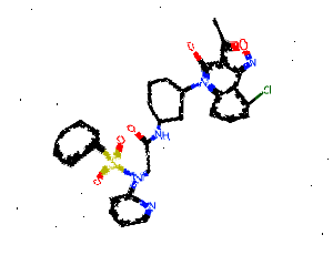 Cc1onc2c1c(=O)n(C1CCCC(NC(=O)CN(c3ccccn3)S(=O)(=O)c3ccccc3)C1)c1cccc(Cl)c21